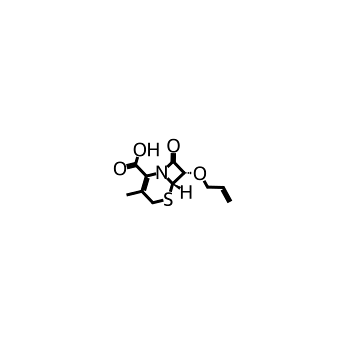 C=CCO[C@H]1C(=O)N2C(C(=O)O)=C(C)CS[C@@H]12